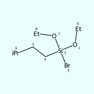 CCO[Si](Br)(CCC(C)C)OCC